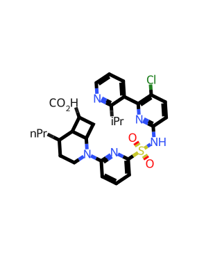 CCCC1CCN(c2cccc(S(=O)(=O)Nc3ccc(Cl)c(-c4cccnc4C(C)C)n3)n2)C2CC(C(=O)O)C12